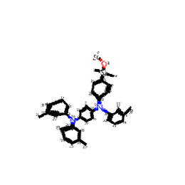 CCO[Si](C)(C)c1ccc(N(c2ccc(N(c3cccc(C)c3)c3cccc(C)c3)cc2)c2cccc(C)c2)cc1